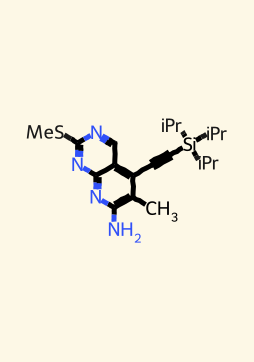 CSc1ncc2c(C#C[Si](C(C)C)(C(C)C)C(C)C)c(C)c(N)nc2n1